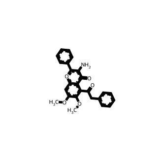 COc1cc2oc(-c3ccccc3)c(N)c(=O)c2c(C(=O)Cc2ccccc2)c1OC